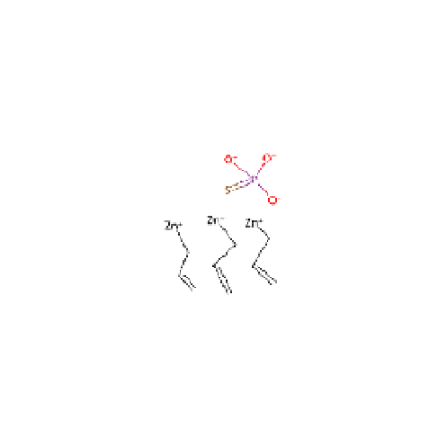 C=C[CH2][Zn+].C=C[CH2][Zn+].C=C[CH2][Zn+].[O-]P([O-])([O-])=S